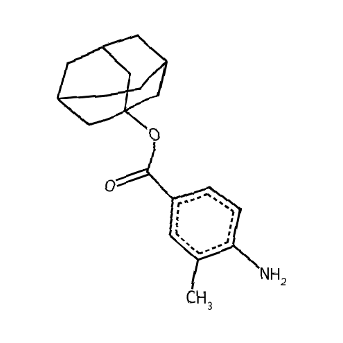 Cc1cc(C(=O)OC23CC4CC(CC(C4)C2)C3)ccc1N